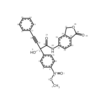 CO[N+](=O)c1ccc([C@@](O)(C#Cc2ccccc2)C(=O)Nc2ccc3c(c2)COC3=O)cc1